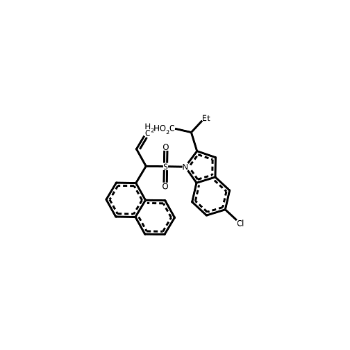 C=CC(c1cccc2ccccc12)S(=O)(=O)n1c(C(CC)C(=O)O)cc2cc(Cl)ccc21